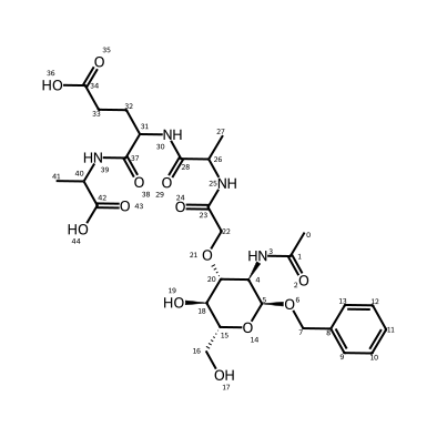 CC(=O)N[C@H]1[C@@H](OCc2ccccc2)O[C@H](CO)[C@@H](O)[C@@H]1OCC(=O)NC(C)C(=O)NC(CCC(=O)O)C(=O)NC(C)C(=O)O